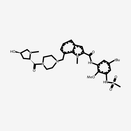 COc1c(NC(=O)c2cc3cccc(CN4CCN(C(=O)[C@@H]5C[C@@H](O)CN5C)CC4)c3n2C)cc(C(C)(C)C)cc1NS(C)(=O)=O